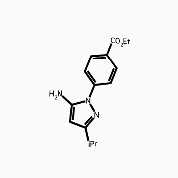 CCOC(=O)c1ccc(-n2nc(C(C)C)cc2N)cc1